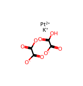 O=C([O-])C(=O)O.O=C([O-])C(=O)[O-].[K+].[Pt+2]